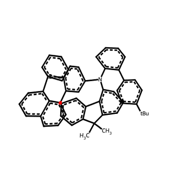 CC(C)(C)c1ccc(-c2ccccc2N(c2ccc(C(C)(C)C)c(-c3cccc4cccc(-c5ccccc5)c34)c2)c2cccc3c2-c2ccccc2C3(C)C)cc1